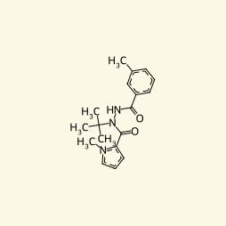 Cc1cccc(C(=O)NN(C(=O)c2cccn2C)C(C)(C)C)c1